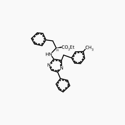 CCOC(=O)[C@H](Cc1ccccc1)Nc1ncc(-c2ccccc2)nc1Cc1cccc(C)c1